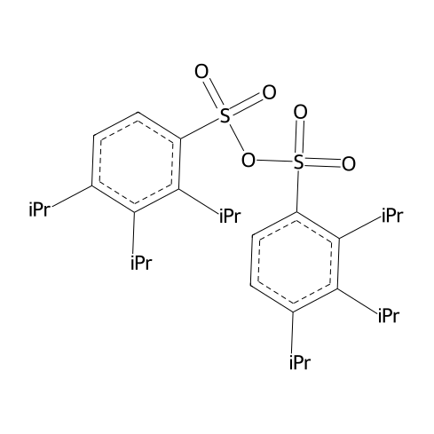 CC(C)c1ccc(S(=O)(=O)OS(=O)(=O)c2ccc(C(C)C)c(C(C)C)c2C(C)C)c(C(C)C)c1C(C)C